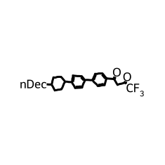 CCCCCCCCCCC1CCC(c2ccc(-c3ccc(C(=O)CC(=O)C(F)(F)F)cc3)cc2)CC1